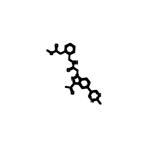 COC(=O)Cc1ccccc1CNC(=O)Cn1nc(C(C)=O)c2cc(-c3cnc(C)nc3)ccc21